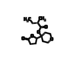 CCC(C)C(=O)OC1(C2CCC(=O)O2)CCOCC1